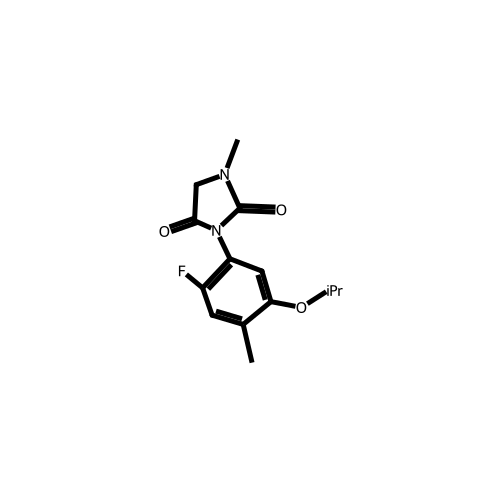 Cc1cc(F)c(N2C(=O)CN(C)C2=O)cc1OC(C)C